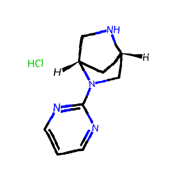 Cl.c1cnc(N2C[C@@H]3C[C@H]2CN3)nc1